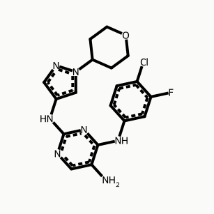 Nc1cnc(Nc2cnn(C3CCOCC3)c2)nc1Nc1ccc(Cl)c(F)c1